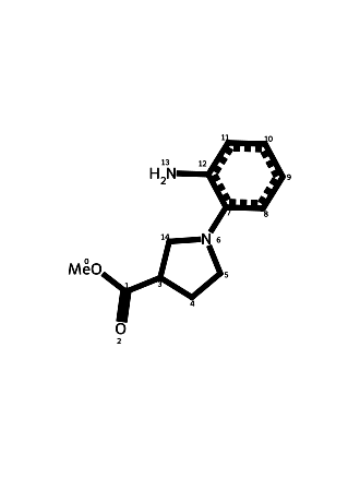 COC(=O)C1CCN(c2ccccc2N)C1